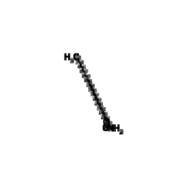 CCCCCCCCCCCCCCCCCCCCCCCCCCCCOCC(N)=O